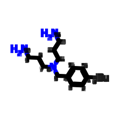 CCC(C)c1ccc(CN(CCCN)CCCN)cc1